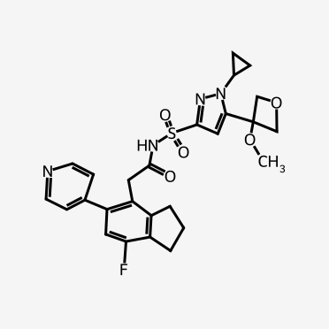 COC1(c2cc(S(=O)(=O)NC(=O)Cc3c(-c4ccncc4)cc(F)c4c3CCC4)nn2C2CC2)COC1